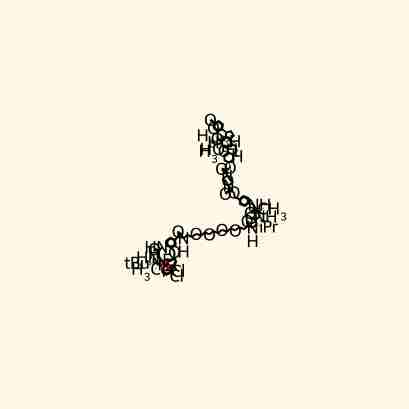 CC(C)[C@H](NC(=O)CCOCCOCCOCCOCCNC(=O)c1ccc2c(c1)Oc1cc(Cl)c(F)c(c1)[C@H]1[C@@H](N[C@@H](CC(C)(C)C)[C@]1(C)c1ccc(Cl)cc1F)C(=O)N2)C(=O)N[C@@H](C)C(=O)Nc1ccc(COC(=O)N2CCN(C(=O)O[C@H]3CC[C@@]4(C)[C@H](CC[C@@H]5[C@@H]4[C@H](O)C(=O)[C@]4(C)[C@@H](c6ccc(=O)oc6)CC[C@]54O)C3)CC2)cc1